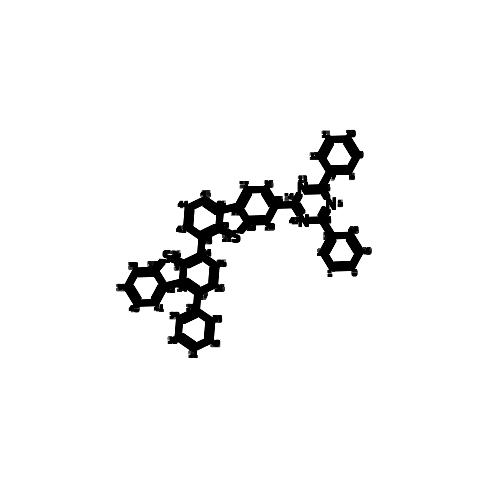 c1ccc(-c2nc(-c3ccccc3)nc(-c3ccc4c(c3)sc3c(-c5ccc(-c6ccccc6)c6c5sc5ccccc56)cccc34)n2)cc1